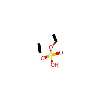 C=C.C=COS(=O)(=O)O